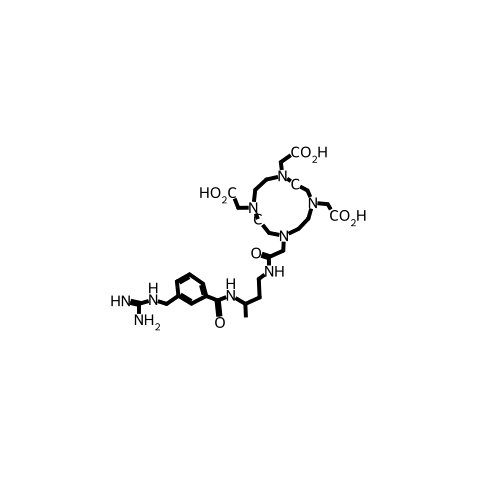 CC(CCNC(=O)CN1CCN(CC(=O)O)CCN(CC(=O)O)CCN(CC(=O)O)CC1)NC(=O)c1cccc(CNC(=N)N)c1